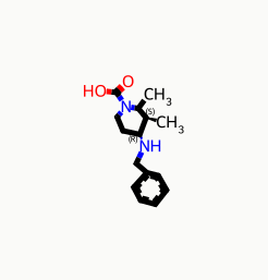 CC1[C@@H](C)[C@H](NCc2ccccc2)CCN1C(=O)O